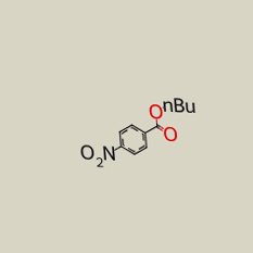 CCCCOC(=O)c1ccc([N+](=O)[O-])cc1